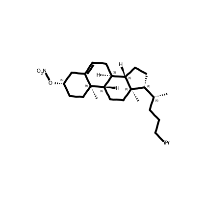 CC(C)CCC[C@@H](C)[C@H]1CC[C@H]2[C@@H]3CC=C4C[C@@H](O[N+](=O)[O-])CC[C@]4(C)[C@H]3CC[C@]12C